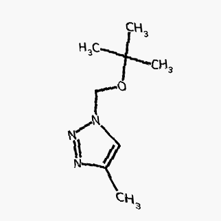 Cc1cn(COC(C)(C)C)nn1